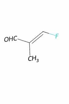 CC(C=O)=CF